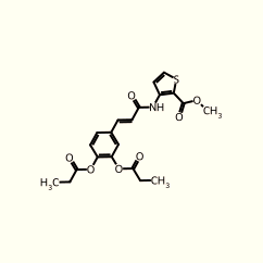 CCC(=O)Oc1ccc(C=CC(=O)Nc2ccsc2C(=O)OC)cc1OC(=O)CC